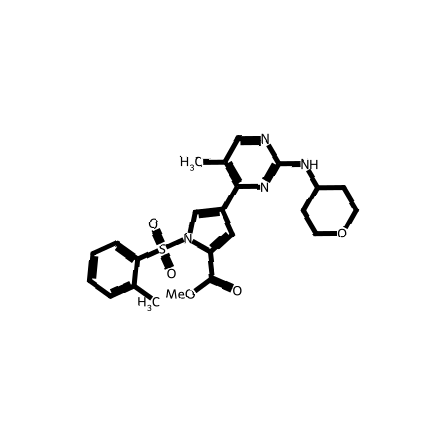 COC(=O)c1cc(-c2nc(NC3CCOCC3)ncc2C)cn1S(=O)(=O)c1ccccc1C